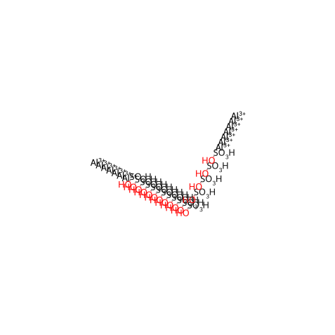 O=S(=O)(O)O.O=S(=O)(O)O.O=S(=O)(O)O.O=S(=O)(O)O.O=S(=O)(O)O.O=S(=O)(O)O.O=S(=O)(O)O.O=S(=O)(O)O.O=S(=O)(O)O.O=S(=O)(O)O.O=S(=O)(O)O.O=S(=O)(O)O.O=S(=O)(O)O.O=S(=O)(O)O.O=S(=O)(O)O.O=S(=O)(O)O.[Al+3].[Al+3].[Al+3].[Al+3].[Al+3].[Al+3].[Al+3].[Al+3].[Al+3].[Al+3].[Al+3].[Al+3].[Al+3].[Al+3]